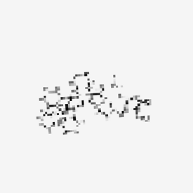 CCCCc1nc(Cl)c(CO)n1Cc1ccc2oc(-c3ccccc3-c3nnn(C(c4ccccc4)(c4ccccc4)c4ccccc4)n3)c(C)c2c1